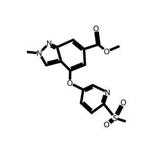 COC(=O)c1cc(Oc2ccc(S(C)(=O)=O)nc2)c2cn(C)nc2c1